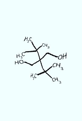 CC(C)(C)C(CO)(CO)C(C)(C)C